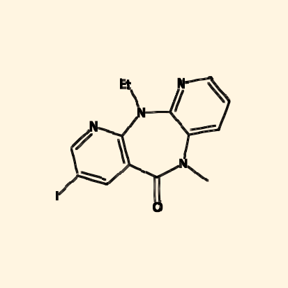 CCN1c2ncc(I)cc2C(=O)N(C)c2cccnc21